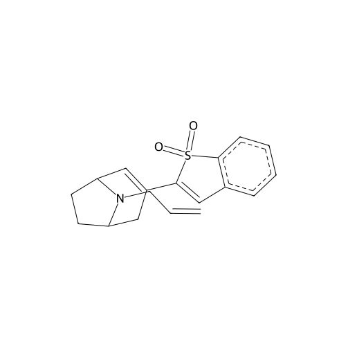 C=CCN1C2C=C(C3=Cc4ccccc4S3(=O)=O)CC1CC2